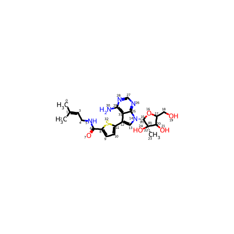 CC(C)=CCNC(=O)c1ccc(-c2cn([C@@H]3OC(CO)C(O)[C@@]3(C)O)c3ncnc(N)c23)s1